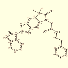 CC1(C)C(=O)N(CC(=O)NOCc2ccccc2)c2cc3[nH]c(-c4n[nH]c5ccccc45)nc3cc21